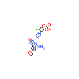 Cn1c(=O)n(CCN2CCN(c3ccc(O[C@@H]4COC[C@H]4O)cc3F)CC2)c2nc(N)n3nc(-c4ccco4)cc3c21